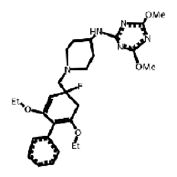 CCOC1=CC(F)(CN2CCC(Nc3nc(OC)nc(OC)n3)CC2)CC(OCC)=C1c1ccccc1